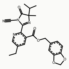 CCc1cnc(C2=NC(C)(C(C)C)C(=O)N2C#N)c(C(=O)OCc2ccc3c(c2)OCO3)c1